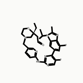 CC[C@@]1(CC=O)CN(Cc2ccc(Nc3ncc(F)c(-c4cc(F)c5nc(C)n(C(C)C)c5c4)n3)nc2)CCO1